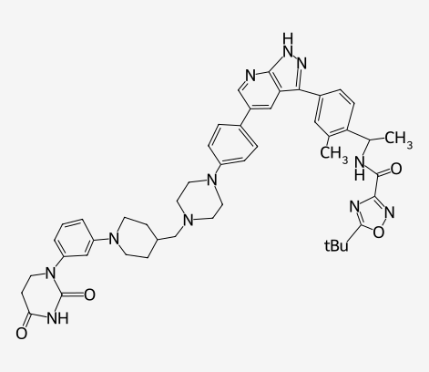 Cc1cc(-c2n[nH]c3ncc(-c4ccc(N5CCN(CC6CCN(c7cccc(N8CCC(=O)NC8=O)c7)CC6)CC5)cc4)cc23)ccc1C(C)NC(=O)c1noc(C(C)(C)C)n1